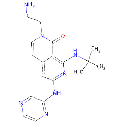 CC(C)(C)Nc1nc(Nc2cnccn2)cc2ccn(CCN)c(=O)c12